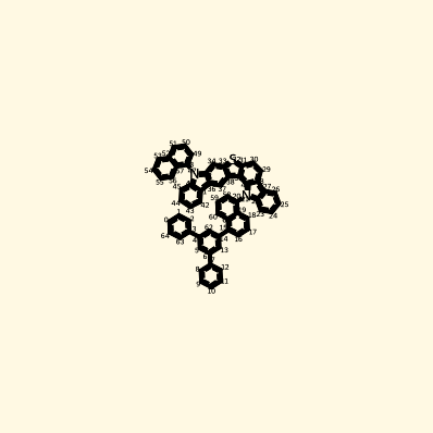 c1ccc(-c2cc(-c3ccccc3)cc(-c3cccc4c(-n5c6ccccc6c6ccc7sc8cc9c(cc8c7c65)c5ccccc5n9-c5cccc6ccccc56)cccc34)c2)cc1